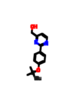 CC(C)(C)[Si](C)(C)Oc1ccc(-c2nccc(CO)n2)cc1